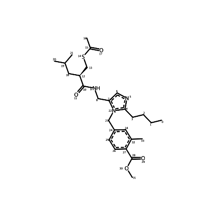 CCCCc1ncc(CNC(=O)[C@H](CSC(C)=O)CC(C)C)n1Cc1ccc(C(=O)OC)c(C)c1